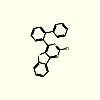 Clc1nc(-c2ccccc2-c2ccccc2)c2sc3ccccc3c2n1